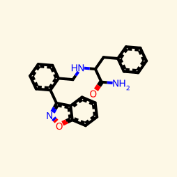 NC(=O)C(Cc1ccccc1)NCc1ccccc1-c1noc2ccccc12